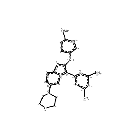 COc1ccc(Nc2nc3ccc(N4CCOCC4)cn3c2-c2nc(C)nc(N)n2)cn1